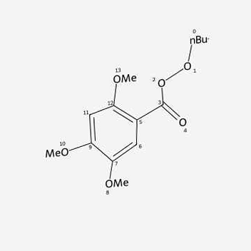 [CH2]CC[CH]OOC(=O)c1cc(OC)c(OC)cc1OC